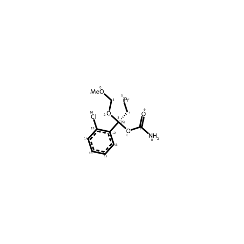 COCO[C@@](CC(C)C)(OC(N)=O)c1ccccc1Cl